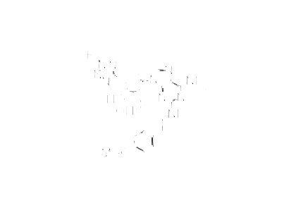 CCn1nnc([C@H]2O[C@@H](n3cnc4c(N)nc(NCCc5ccc(OC)cc5)nc43)[C@H](OC=O)[C@@H]2O)n1